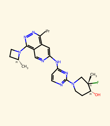 CC(C)c1nnc(N2CC[C@H]2C)c2cnc(Nc3ccnc(N4CC[C@@H](O)[C@@](C)(F)C4)n3)cc12